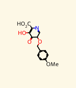 COc1ccc(COC2C=NC(C(=O)O)=C(O)C2=O)cc1